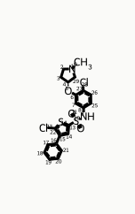 CN1CC[C@@H](Oc2cc(NS(=O)(=O)c3cc(-c4ccccc4)c(Cl)s3)ccc2Cl)C1